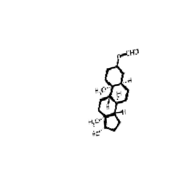 CC(=O)[C@H]1CC[C@H]2[C@@H]3CC[C@@H]4C[C@H](OC=O)CC[C@]4(C)[C@H]3CC[C@]12C